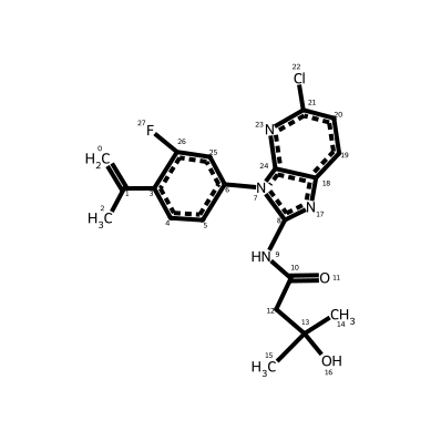 C=C(C)c1ccc(-n2c(NC(=O)CC(C)(C)O)nc3ccc(Cl)nc32)cc1F